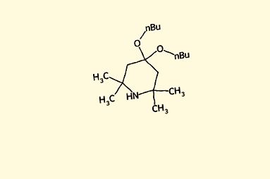 CCCCOC1(OCCCC)CC(C)(C)NC(C)(C)C1